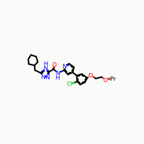 CC(C)OCCOc1ccc(Cl)c(-c2ccnc(NC(=O)c3nnc(CC4CCCCC4)[nH]3)c2)c1